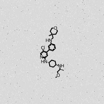 COC[C@H](C)N[C@H]1CC[C@H](Nc2cc(-c3cccc(NCC4(C)CCOCC4)c3)c(Cl)cn2)CC1